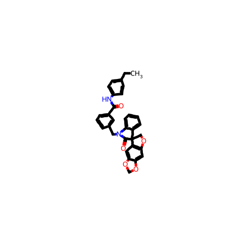 CCc1ccc(NC(=O)c2cccc(CN3C(=O)C4(COc5cc6c(cc54)OCO6)c4ccccc43)c2)cc1